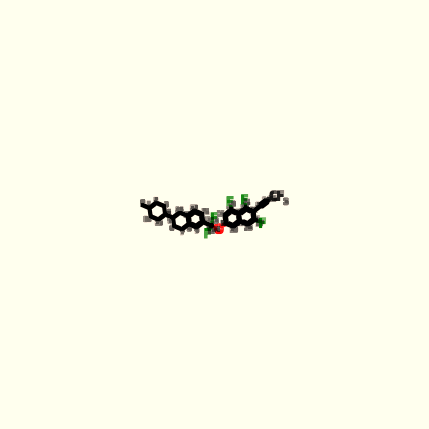 CC1CCC(C2CCc3cc(C(F)(F)Oc4cc(F)c5c(F)c(C#CC(F)(F)F)c(F)cc5c4)ccc3C2)CC1